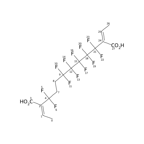 CC=C(C(=O)O)C(F)(F)CCC(F)(F)C(F)(F)C(F)(F)C(F)(F)C(F)(F)C(=CC)C(=O)O